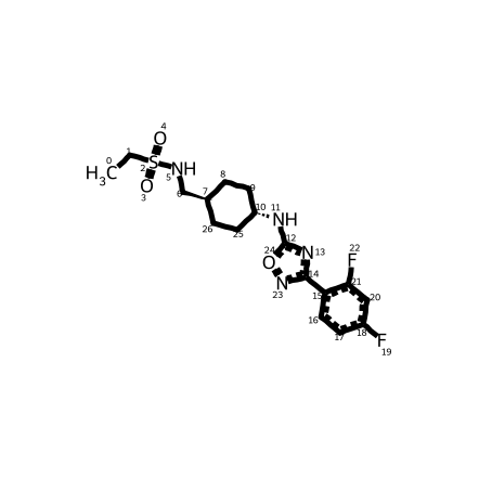 CCS(=O)(=O)NC[C@H]1CC[C@H](Nc2nc(-c3ccc(F)cc3F)no2)CC1